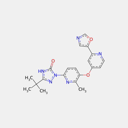 Cc1nc(-n2nc(C(C)(C)C)[nH]c2=O)ccc1Oc1ccnc(-c2cnco2)c1